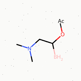 BC(CN(C)C)OC(C)=O